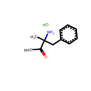 COC(=O)C(C)(N)Cc1ccccc1.Cl